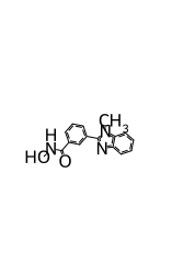 Cn1c(-c2cccc(C(=O)NO)c2)nc2ccccc21